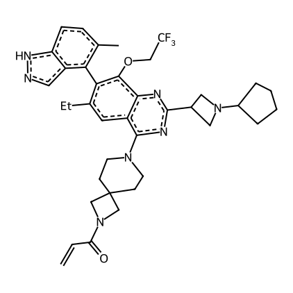 C=CC(=O)N1CC2(CCN(c3nc(C4CN(C5CCCC5)C4)nc4c(OCC(F)(F)F)c(-c5c(C)ccc6[nH]ncc56)c(CC)cc34)CC2)C1